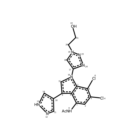 CC(=O)Nc1cc(Cl)c(Cl)c2c1c(-c1cn[nH]c1)cn2-c1cn(CCO)nn1